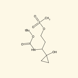 CC(C)(C)OC(=O)NC(CCOS(C)(=O)=O)C1(O)CC1